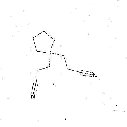 N#CCCC1(CCC#N)CCCC1